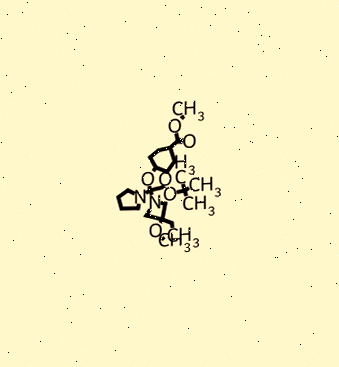 CCOC(=O)C1CCC(OC(C(=O)OC(C)(C)C)(N2CCCC2)N2CC(CC)(OC)C2)CC1